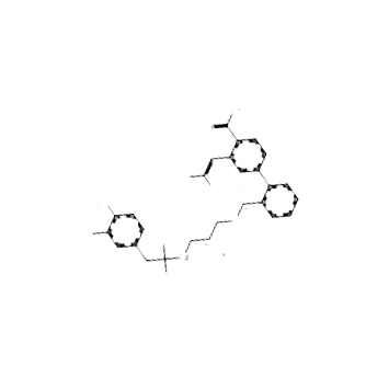 CC(C)=Cc1cc(-c2ccccc2[C@@H](C)OC[C@H](O)CNC(C)(C)Cc2ccc(C)c(F)c2)ccc1C(=O)O